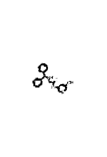 O=C(CNC(c1ccccc1)c1ccccc1)Nc1cncc(O)c1